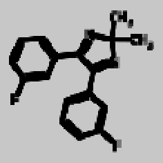 CC1(C)N=C(c2cccc(F)c2)C(c2cccc(F)c2)=N1